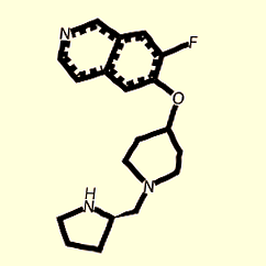 Fc1cc2cnccc2cc1OC1CCN(C[C@H]2CCCN2)CC1